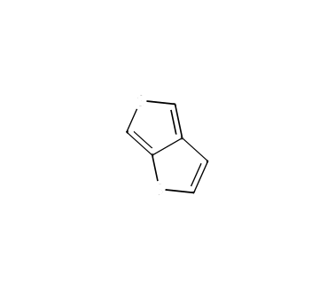 [c]1cc2cscc2s1